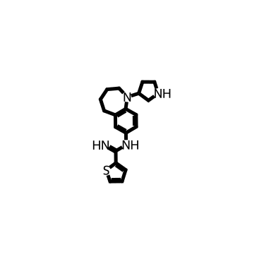 N=C(Nc1ccc2c(c1)CCCCN2C1CCNC1)c1cccs1